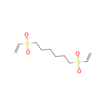 C=CS(=O)(=O)CCCCCCS(=O)(=O)C=C